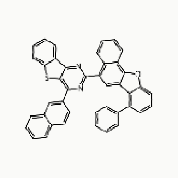 c1ccc(-c2cccc3oc4c5ccccc5c(-c5nc(-c6ccc7ccccc7c6)c6sc7ccccc7c6n5)cc4c23)cc1